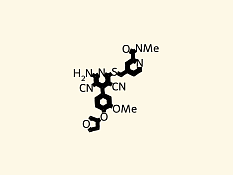 [C-]#[N+]c1c(N)nc(SCc2ccnc(C(=O)NC)c2)c(C#N)c1-c1ccc(OC2CCOC2)c(OC)c1